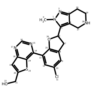 Cn1nc2c(c1C1Cc3cc(Cl)cc(-c4ncnc5cc(CO)sc45)c3O1)CNCC2